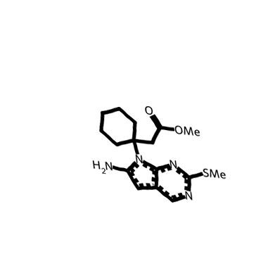 COC(=O)CC1(n2c(N)cc3cnc(SC)nc32)CCCCC1